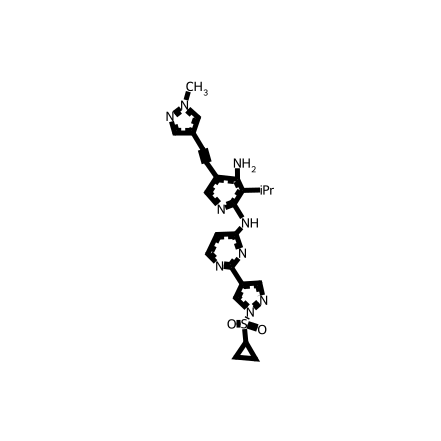 CC(C)c1c(Nc2ccnc(-c3cnn(S(=O)(=O)C4CC4)c3)n2)ncc(C#Cc2cnn(C)c2)c1N